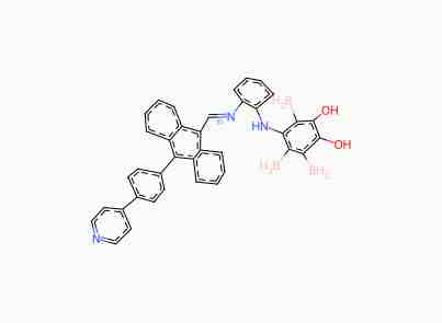 Bc1c(B)c(Nc2ccccc2/N=C/c2c3ccccc3c(-c3ccc(-c4ccncc4)cc3)c3ccccc23)c(B)c(O)c1O